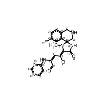 CN1/C(=C(Cl)\C=C(/C=O)Nc2ccncn2)C(=O)NC12CNCc1ccc(F)cc12